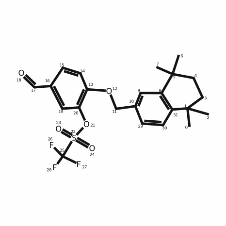 CC1(C)CCC(C)(C)c2cc(COc3ccc(C=O)cc3OS(=O)(=O)C(F)(F)F)ccc21